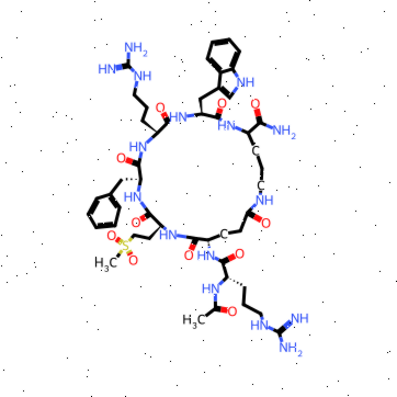 CC(=O)N[C@@H](CCCNC(=N)N)C(=O)N[C@H]1CCC(=O)NCCCC(C(N)=O)NC(=O)[C@H](Cc2c[nH]c3ccccc23)NC(=O)[C@H](CCCNC(=N)N)NC(=O)[C@@H](Cc2ccccc2)NC(=O)[C@H](CCS(C)(=O)=O)NC1=O